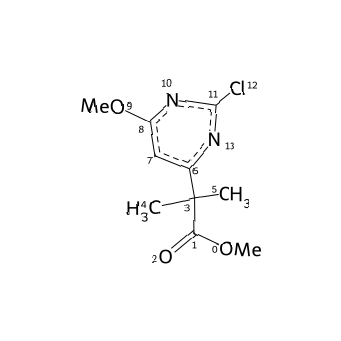 COC(=O)C(C)(C)c1cc(OC)nc(Cl)n1